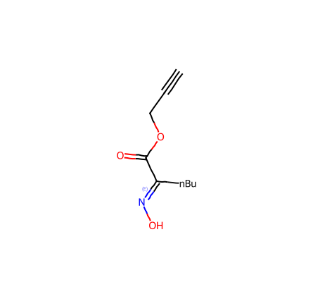 C#CCOC(=O)/C(CCCC)=N/O